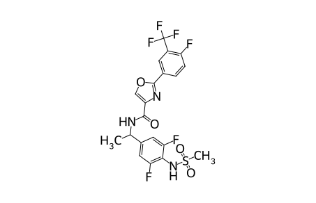 CC(NC(=O)c1coc(-c2ccc(F)c(C(F)(F)F)c2)n1)c1cc(F)c(NS(C)(=O)=O)c(F)c1